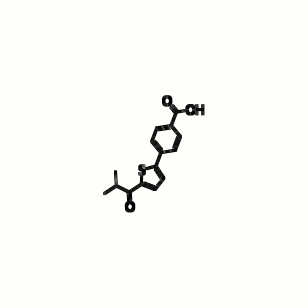 CC(C)C(=O)c1ccc(-c2ccc(C(=O)O)cc2)s1